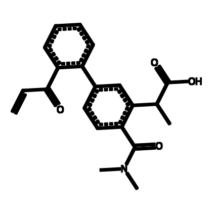 C=CC(=O)c1ccccc1-c1ccc(C(=O)N(C)C)c(C(C)C(=O)O)c1